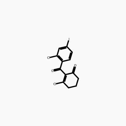 O=C1CCCC(Cl)=C1C(=O)c1ccc(I)cc1Cl